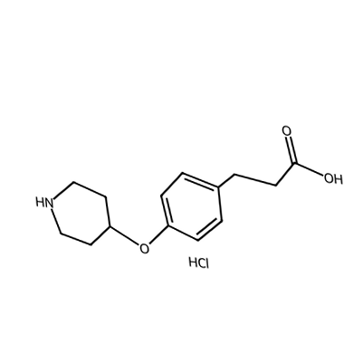 Cl.O=C(O)CCc1ccc(OC2CCNCC2)cc1